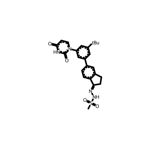 CC(C)(C)c1cc(-c2ccc3c(c2)CCC3=NNS(C)(=O)=O)cc(-n2ccc(=O)[nH]c2=O)c1